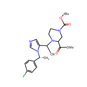 COC(=O)C1CN(C(=O)OC(C)(C)C)CCN1C(C#N)c1cncn1[C@H](C)c1ccc(F)cc1